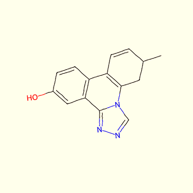 CC1C=Cc2c(n3cnnc3c3cc(O)ccc23)C1